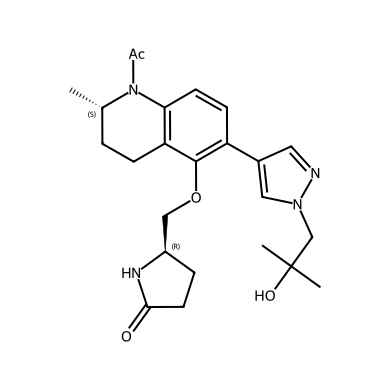 CC(=O)N1c2ccc(-c3cnn(CC(C)(C)O)c3)c(OC[C@H]3CCC(=O)N3)c2CC[C@@H]1C